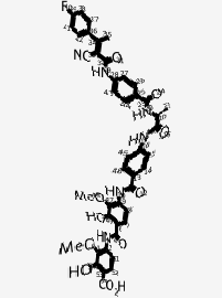 COc1c(NC(=O)c2ccc(NC(=O)c3ccc(NC(=O)[C@H](C)NC(=O)c4ccc(NC(=O)/C(C#N)=C(\C)c5ccc(F)cc5)cc4)cc3)c(OC)c2O)ccc(C(=O)O)c1O